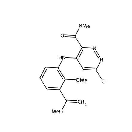 C=C(OC)c1cccc(Nc2cc(Cl)nnc2C(=O)NC)c1OC